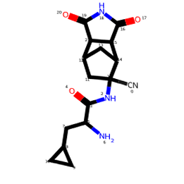 N#CC1(NC(=O)C(N)CC2CC2)CC2CC1C1C(=O)NC(=O)C21